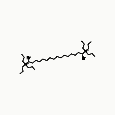 CCC[N+](CCC)(CCC)C(Br)CCCCCCCCCCCCCCC(Br)[N+](CCC)(CCC)CCC